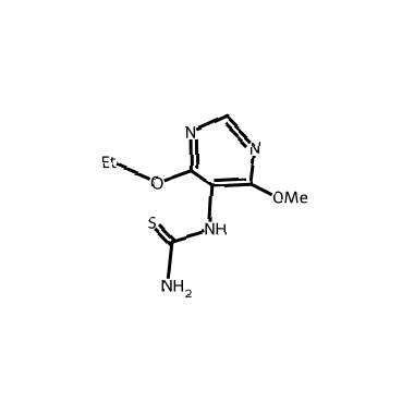 CCOc1ncnc(OC)c1NC(N)=S